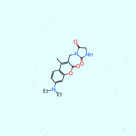 CCN(CC)c1ccc2c(C)c(CN3C(=O)CNC3=O)c(=O)oc2c1